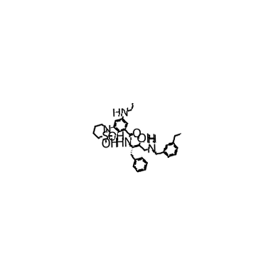 CCNc1cc(C(=O)N[C@@H](Cc2ccccc2)[C@@H](O)CNCc2cccc(CC)c2)cc(N2CCCCS2(O)O)c1